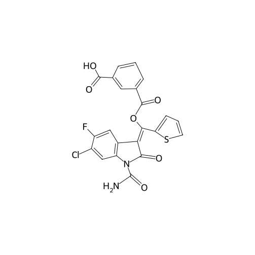 NC(=O)N1C(=O)/C(=C(/OC(=O)c2cccc(C(=O)O)c2)c2cccs2)c2cc(F)c(Cl)cc21